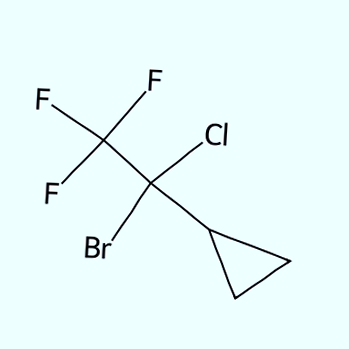 FC(F)(F)C(Cl)(Br)C1CC1